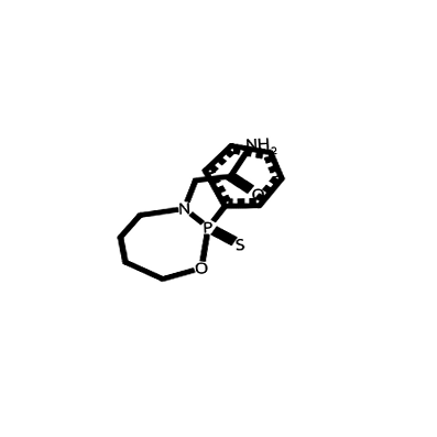 NC(=O)CN1CCCCOP1(=S)c1ccccc1